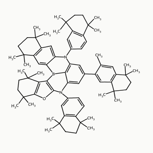 Cc1cc2c(cc1-c1cc3c4c(c1)N(c1ccc5c(c1)C(C)(C)CCC5(C)C)c1oc5c(c1B4c1cc4c(cc1N3c1ccc3c(c1)C(C)(C)CCC3(C)C)C(C)(C)CCC4(C)C)C(C)(C)CCC5(C)C)C(C)(C)CCC2(C)C